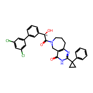 O=C([C@H](O)c1cccc(-c2cc(Cl)cc(Cl)c2)c1)N1CCCc2nc(C3(c4ccccc4)CC3)[nH]c(=O)c2C1